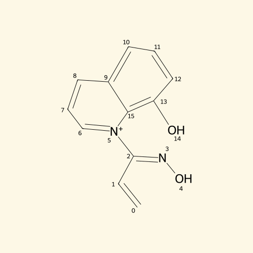 C=CC(=NO)[n+]1cccc2cccc(O)c21